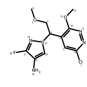 COCC(c1cc(Cl)nnc1OC)n1cc(N)c(F)n1